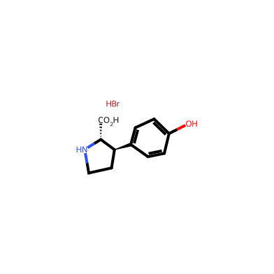 Br.O=C(O)[C@H]1NCC[C@@H]1c1ccc(O)cc1